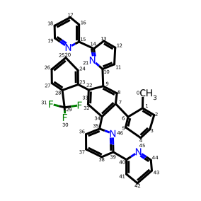 Cc1ccccc1-c1cc(-c2cccc(-c3ccccn3)n2)c(-c2ccccc2C(F)(F)F)cc1-c1cccc(-c2ccccn2)n1